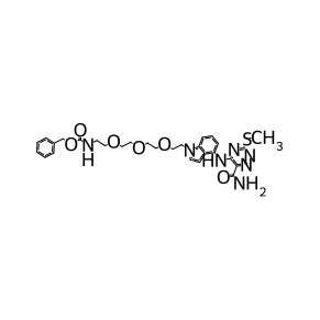 CSc1nnc(C(N)=O)c(Nc2cccc3c2ccn3CCOCCOCCOCCNC(=O)OCc2ccccc2)n1